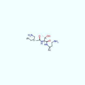 CC(=O)[C@H](CCN)NC(=O)[C@@H](NC(=O)C[C@@H](CN)CC(C)C)[C@H](C)O